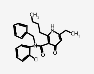 CCCCc1[nH]c(CC)cc(=O)c1C(=O)N(Cc1ccccc1)c1ccccc1Cl